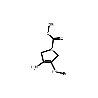 CC(C)(C)OC(=O)N1CC(N)=C(NBr)C1